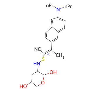 CCCN(CCC)c1ccc2cc(/C(C)=C(\C#N)SNC3CC(O)COC3O)ccc2c1